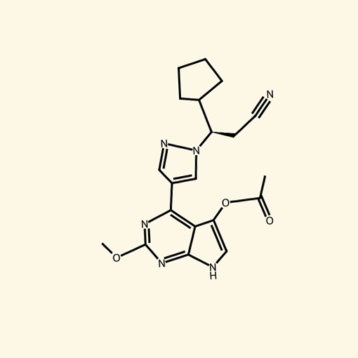 COc1nc(-c2cnn([C@H](CC#N)C3CCCC3)c2)c2c(OC(C)=O)c[nH]c2n1